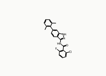 Cc1cccc(C)c1-c1ccc2c(NC(=O)c3c(F)cccc3Cl)n[nH]c2c1